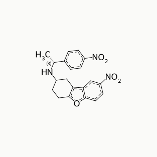 C[C@@H](NC1CCc2oc3ccc([N+](=O)[O-])cc3c2C1)c1ccc([N+](=O)[O-])cc1